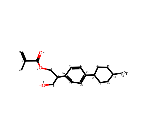 C=C(C)C(=O)OCC(CO)c1ccc(C2CCC(CCC)CC2)cc1